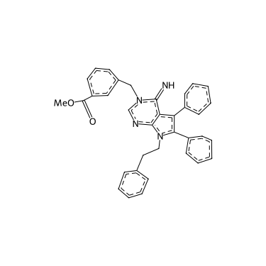 COC(=O)c1cccc(Cn2cnc3c(c(-c4ccccc4)c(-c4ccccc4)n3CCc3ccccc3)c2=N)c1